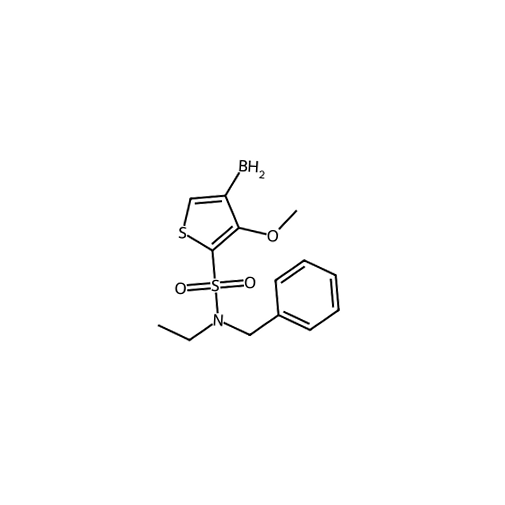 Bc1csc(S(=O)(=O)N(CC)Cc2ccccc2)c1OC